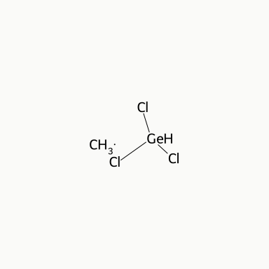 [CH3].[Cl][GeH]([Cl])[Cl]